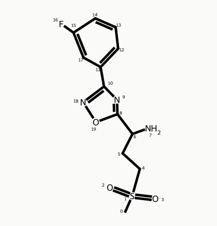 CS(=O)(=O)CCC(N)c1nc(-c2cccc(F)c2)no1